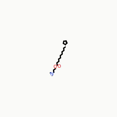 CN(C)CCCOC(=O)CCCCCCCCCC[C@H]1C=CCC1